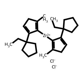 CCC1(C2=CCC(C)=[C]2[Zr+2][C]2=C(C)CC=C2C2(CC)CCCC2)CCCC1.[Cl-].[Cl-]